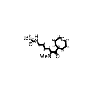 CNC(CCCCNC(=O)C(C)(C)C)C(=O)C1CCCCCCC1